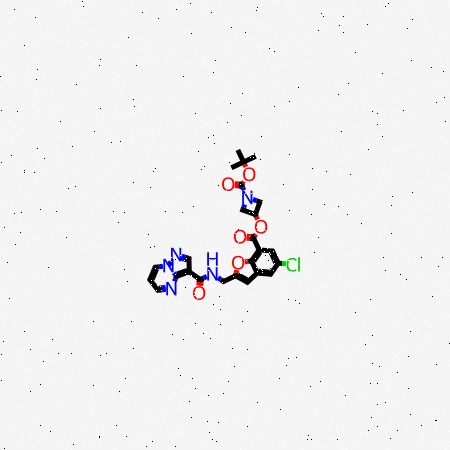 CC(C)(C)OC(=O)N1CC(OC(=O)c2cc(Cl)cc3cc(CNC(=O)c4cnn5cccnc45)oc23)C1